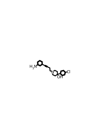 Nc1cccc(C#CCCN2CCC(O)(c3ccc(Cl)cc3)CC2)c1